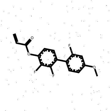 C=CC(=O)Oc1ccc(-c2ccc(OC)cc2F)c(F)c1F